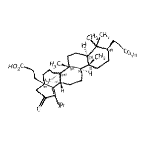 CC(C)C1=C2[C@H]3CC[C@@H]4[C@@]5(C)CC[C@H](CC(=O)O)C(C)(C)[C@@H]5CC[C@@]4(C)[C@]3(C)CC[C@@]2(CCC(=O)O)CC1=O